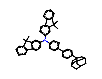 CC1(C)c2ccccc2-c2ccc(N(c3ccc(-c4ccc(C56CC7CC(CC(C7)C5)C6)cc4)cc3)c3ccc4c(c3)C(C)(C)c3ccccc3-4)cc21